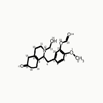 COc1ccc(CC2C3=C(CCN2CO)CC(=O)CC3)cc1OC=O